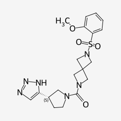 COc1ccccc1S(=O)(=O)N1CC2(CN(C(=O)N3CC[C@H](c4cnn[nH]4)C3)C2)C1